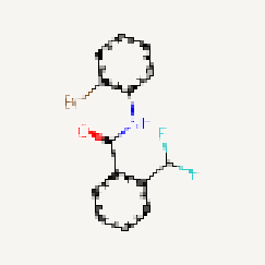 O=C(Nc1ccccc1Br)c1ccccc1C(F)F